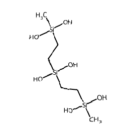 C[Si](O)(O)CC[Si](O)(O)CC[Si](C)(O)O